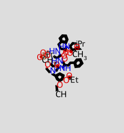 C#CCOc1cc(C[N+]2(CC(=O)NC(CCc3ccccc3)C(=O)NC(CC(C)C)C(=O)NC(Cc3ccccc3)C(=O)NC(CC(C)C)C(=O)[C@@]3(C)CO3)CCOCC2)ccc1OC(=O)CC.CS(=O)(=O)[O-]